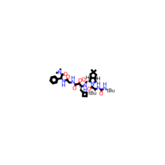 CN(C)C(=O)[C@@H](NC(=O)CNC(=O)C(=O)[C@H](CC1CCC1)NC(=O)[C@@H]1[C@H]2CC(C)(C)C[C@H]2CN1C(=O)[C@@H](NC(=O)NC(C)(C)C)C(C)(C)C)c1ccccc1